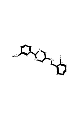 COc1cccc(C2OCC(OCc3ccccc3F)CO2)c1